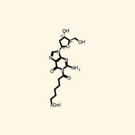 CCCCCCCCCCCCCCCC(=O)n1c(N)nc2c(ncn2[C@H]2C[C@H](O)[C@@H](CO)O2)c1=O